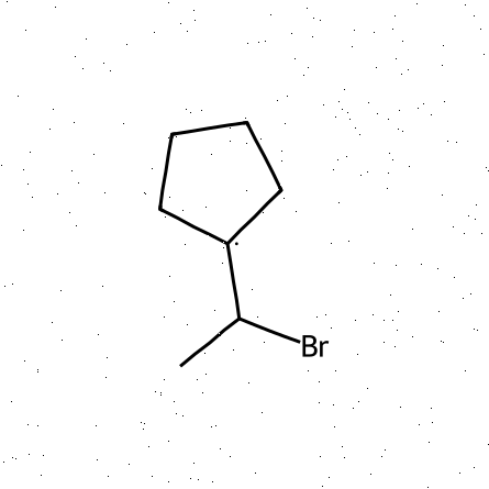 CC(Br)[C]1CCCC1